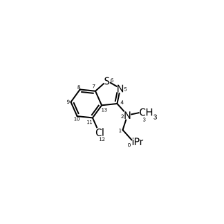 CC(C)CN(C)c1nsc2cccc(Cl)c12